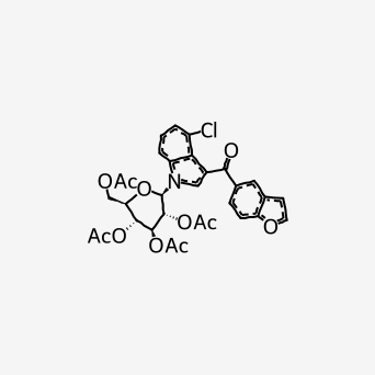 CC(=O)OC[C@H]1O[C@@H](n2cc(C(=O)c3ccc4occc4c3)c3c(Cl)cccc32)[C@H](OC(C)=O)[C@@H](OC(C)=O)[C@@H]1OC(C)=O